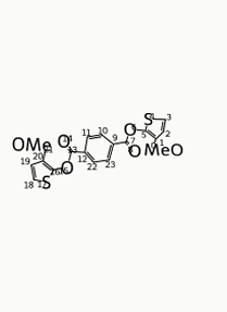 COc1ccsc1OC(=O)c1ccc(C(=O)Oc2sccc2OC)cc1